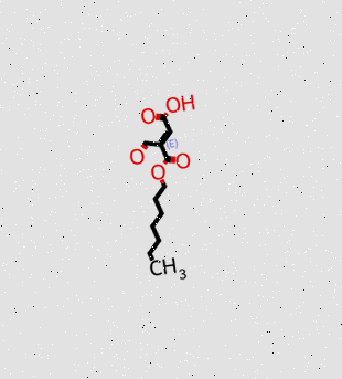 CCCCCCCOC(=O)/C(C=O)=C/C(=O)O